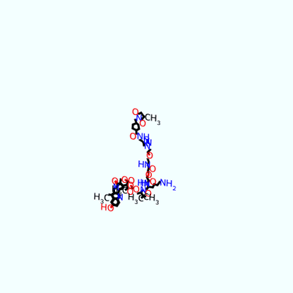 CCc1c2c(nc3ccc(O)cc13)-c1cc3c(c(=O)n1C2)COC(=O)C3(CC)OC(=O)OCC(NC(=O)C(CCCCN)NC(=O)COCC(=O)NCCOCCn1cc(CNC(=O)C2CCC(CN3C(=O)CC(C)C3=O)CC2)nn1)C(C)C